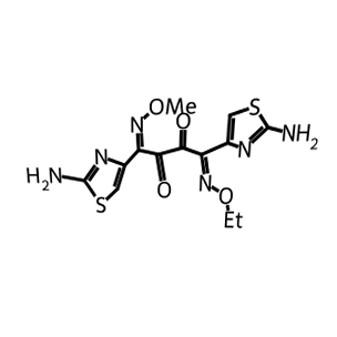 CCON=C(C(=O)C(=O)C(=NOC)c1csc(N)n1)c1csc(N)n1